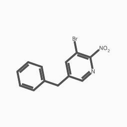 O=[N+]([O-])c1ncc(Cc2ccccc2)cc1Br